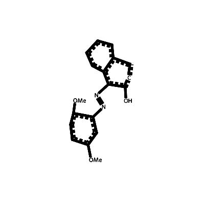 COc1ccc(OC)c(/N=N/c2c(O)ccc3ccccc23)c1